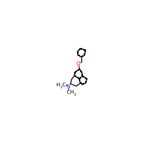 CN(C)C1Cc2cccc3cc(OCc4ccccc4)cc(c23)C1